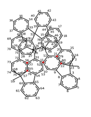 CC1(C)c2ccccc2-c2ccc(N(c3ccccc3-c3ccccc3)c3cccc4c3C3(c5ccccc5-4)c4ccccc4-c4cccc(N(c5ccc6c(c5)C(C)(C)c5ccccc5-6)c5ccccc5-c5ccccc5)c43)cc21